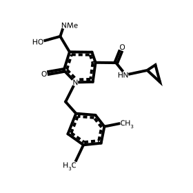 CNC(O)c1cc(C(=O)NC2CC2)cn(Cc2cc(C)cc(C)c2)c1=O